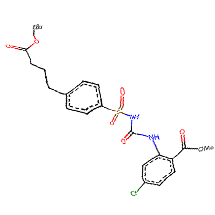 COC(=O)c1ccc(Cl)cc1NC(=O)NS(=O)(=O)c1ccc(CCCC(=O)OC(C)(C)C)cc1